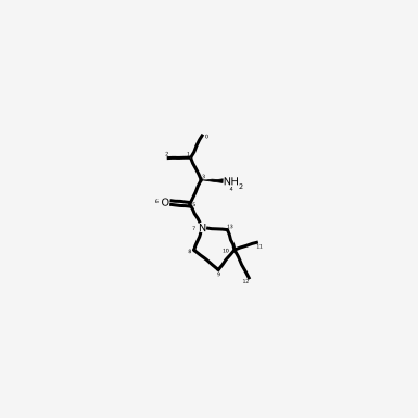 CC(C)[C@@H](N)C(=O)N1CCC(C)(C)C1